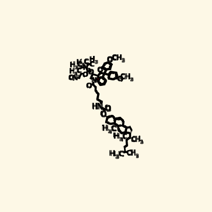 [C-]#[N+]CCOP(OC1CN(C(=O)CCCCCNC(=O)O[C@H]2CC[C@@]3(C)C(=CCC4C3CC[C@@]3(C)C4CC[C@@H]3[C@H](C)CCCC(C)C)C2)CC1C(=O)C(c1ccccc1)(c1ccc(OC)cc1)c1ccc(OC)cc1)N(C(C)C)C(C)C